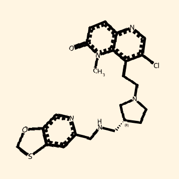 Cn1c(=O)ccc2ncc(Cl)c(CCN3CC[C@H](CNCc4cc5c(cn4)OCS5)C3)c21